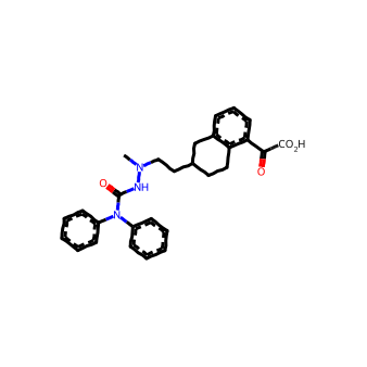 CN(CCC1CCc2c(cccc2C(=O)C(=O)O)C1)NC(=O)N(c1ccccc1)c1ccccc1